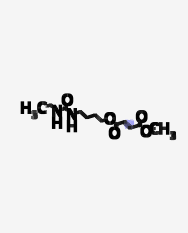 CCNC(=O)NCCCCOC(=O)/C=C/C(=O)OC